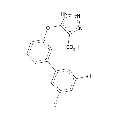 O=C(O)c1nn[nH]c1Oc1cccc(-c2cc(Cl)cc(Cl)c2)c1